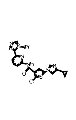 CC(C)n1cnnc1-c1cccc(NC(=O)c2cc(-n3cnc(C4CC4)c3)sc2Cl)n1